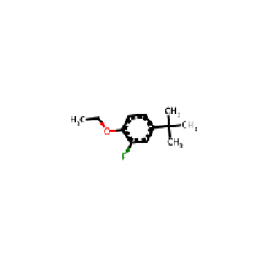 CCOc1ccc(C(C)(C)C)cc1F